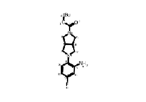 CC(C)(C)OC(=O)N1CC2CN(c3ccc(F)cc3N)CC2C1